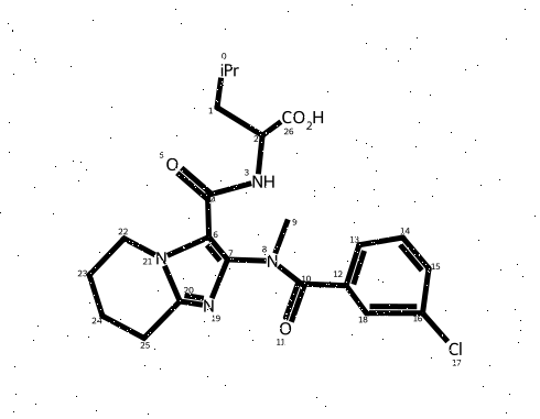 CC(C)CC(NC(=O)c1c(N(C)C(=O)c2cccc(Cl)c2)nc2n1CCCC2)C(=O)O